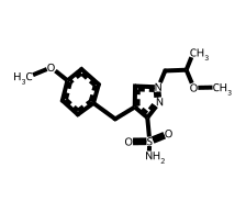 COc1ccc(Cc2cn(CC(C)OC)nc2S(N)(=O)=O)cc1